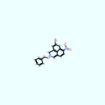 O=[N+]([O-])c1ccc2c3c1CC(Br)=CC=3CN(OCc1ccccc1)C=2